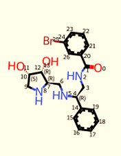 O=C(NC[C@H](NC[C@H]1NC[C@H](O)[C@@H]1O)c1ccccc1)c1cccc(Br)c1